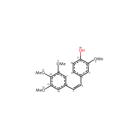 COc1cc(/C=C\c2cc(OC)c(OC)c(OC)c2)ccc1O